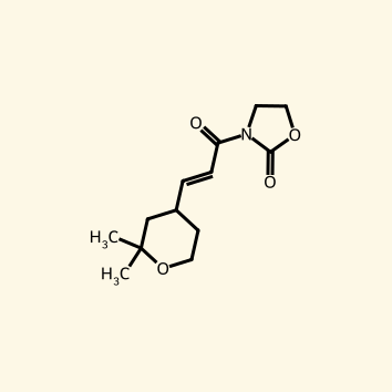 CC1(C)CC(/C=C/C(=O)N2CCOC2=O)CCO1